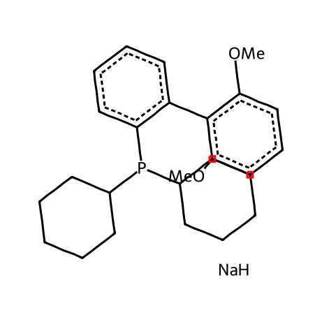 COc1cccc(OC)c1-c1ccccc1P(C1CCCCC1)C1CCCCC1.[NaH]